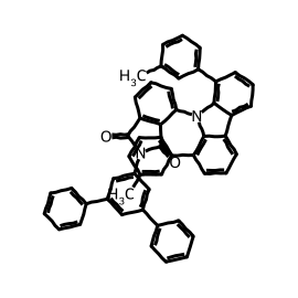 Cc1cccc(-c2cccc3c4cccc(-c5cccc(C)c5)c4n(-c4cccc5c4C(=O)N(c4cc(-c6ccccc6)cc(-c6ccccc6)c4)C5=O)c23)c1